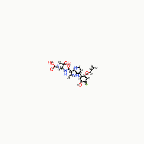 COc1cc(-c2ccnc3c(C(=O)N[C@@H]4CN(C(=O)O)C[C@H]4O)c(C)[nH]c23)c(OCC2CC2)cc1F